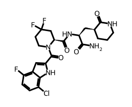 NC(=O)[C@H](C[C@@H]1CCCNC1=O)NC(=O)[C@@H]1CC(F)(F)CCN1C(=O)c1cc2c(F)ccc(Cl)c2[nH]1